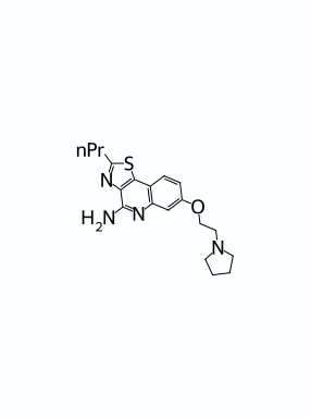 CCCc1nc2c(N)nc3cc(OCCN4CCCC4)ccc3c2s1